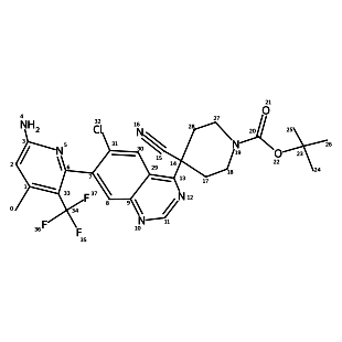 Cc1cc(N)nc(-c2cc3ncnc(C4(C#N)CCN(C(=O)OC(C)(C)C)CC4)c3cc2Cl)c1C(F)(F)F